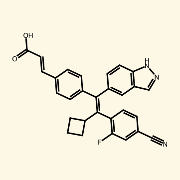 N#Cc1ccc(C(=C(c2ccc(C=CC(=O)O)cc2)c2ccc3[nH]ncc3c2)C2CCC2)c(F)c1